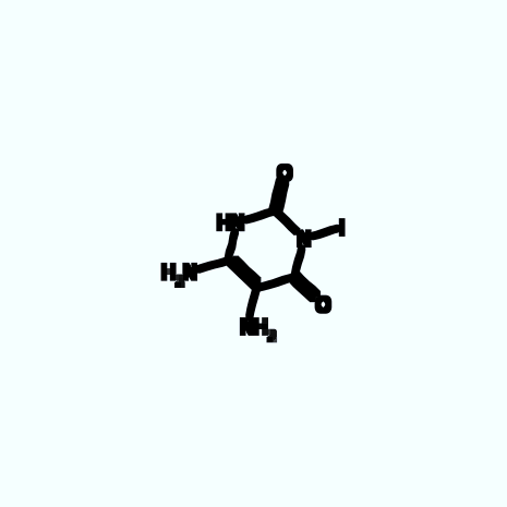 Nc1[nH]c(=O)n(I)c(=O)c1N